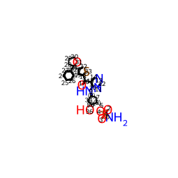 NS(=O)(=O)OC[C@H]1C[C@@H](Nc2ncncc2C(=O)c2cc([C@]3(c4ccccc4)CCCO3)cs2)C[C@@H]1O